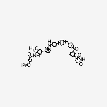 Cc1cc(-c2ccnc(Nc3ccc(N4CCN(CC5CCN(C(=O)c6cccc(N7CCC(=O)NC7=O)c6)CC5)CC4)cc3)n2)ccc1CNC(=O)N1CC(OC(C)C)C1